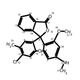 CNc1ccc(C2(c3cc(C)c(Cl)cc3O)OC(=O)c3ccccc32)c(OC)c1